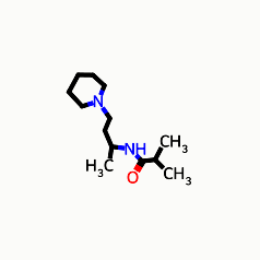 CC(CCN1CCCCC1)NC(=O)C(C)C